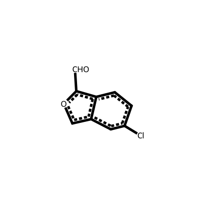 O=Cc1occ2cc(Cl)ccc12